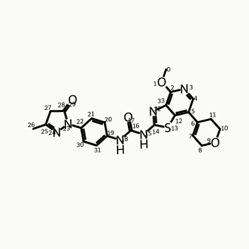 COc1ncc(C2=CCOCC2)c2sc(NC(=O)Nc3ccc(N4N=C(C)CC4=O)cc3)nc12